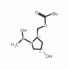 CB(O)N1C[C@@H](O)C[C@@H]1COC(=O)C(C)(C)C